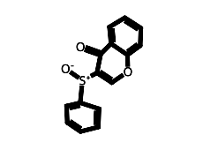 O=c1c([S+]([O-])c2ccccc2)coc2ccccc12